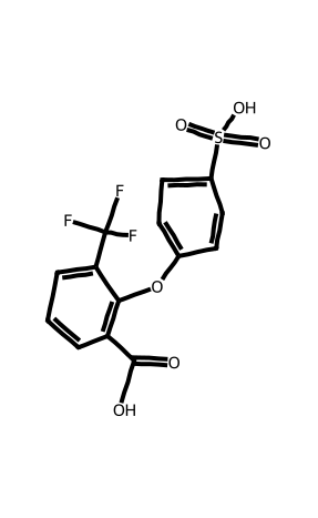 O=C(O)c1cccc(C(F)(F)F)c1Oc1ccc(S(=O)(=O)O)cc1